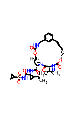 C=CC1C[C@]1(NC(=O)[C@@H]1C[C@@H]2CN1C(=O)[C@H](C(C)C)NC(=O)OCCC/C=C/c1cccc(c1)CNC(=O)O2)C(=O)NS(=O)(=O)C1CC1